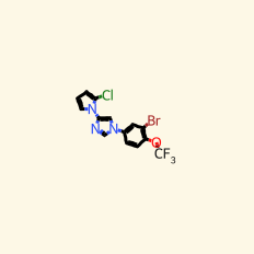 FC(F)(F)Oc1ccc(-n2cnc(-n3cccc3Cl)c2)cc1Br